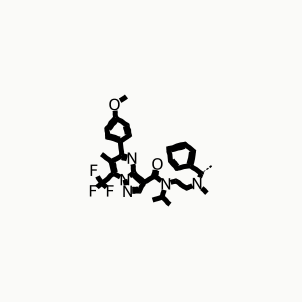 COc1ccc(-c2nc3c(C(=O)N(CCN(C)[C@@H](C)c4ccccc4)C(C)C)cnn3c(C(F)(F)F)c2C)cc1